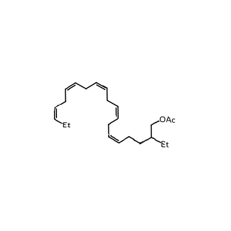 CC/C=C\C/C=C\C/C=C\C/C=C\C/C=C\CCC(CC)COC(C)=O